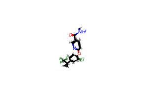 CNC(=O)c1ccc(Oc2ccc(C3(C(F)(F)F)CC3)cc2Cl)nc1